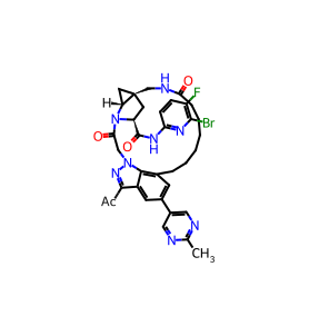 CC(=O)c1nn2c3c(cc(-c4cnc(C)nc4)cc13)CCCCCCC(=O)NC[C@@]13C[C@@H](C(=O)Nc4ccc(F)c(Br)n4)N(C(=O)C2)[C@@H]1C3